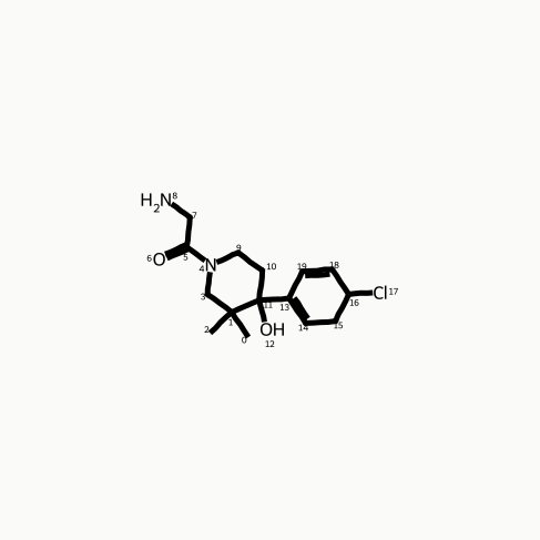 CC1(C)CN(C(=O)CN)CCC1(O)C1=CCC(Cl)C=C1